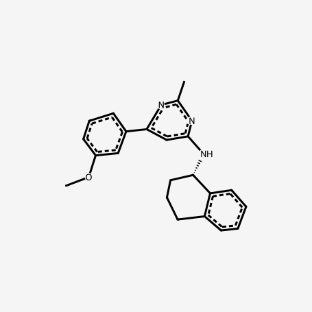 COc1cccc(-c2cc(N[C@H]3CCCc4ccccc43)nc(C)n2)c1